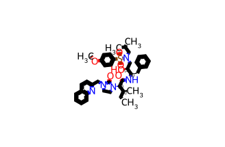 CC[C@H](C)[C@@H](C(=O)N[C@@H](Cc1ccccc1)[C@@H](O)CN(CC(C)C)S(=O)(=O)c1ccc(OC)cc1)N1CCN(Cc2ccc3ccccc3n2)C1=O